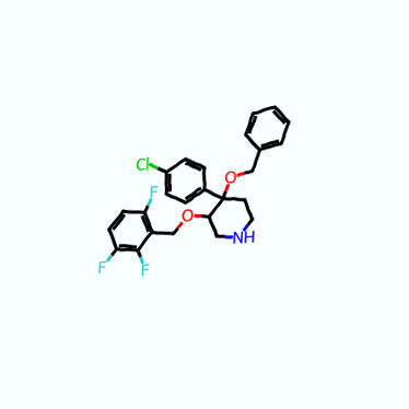 Fc1ccc(F)c(COC2CNCCC2(OCc2ccccc2)c2ccc(Cl)cc2)c1F